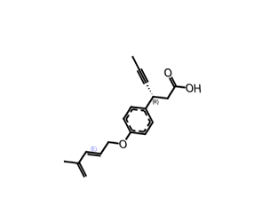 C=C(C)/C=C/COc1ccc([C@H](C#CC)CC(=O)O)cc1